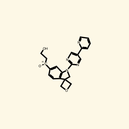 [O-][S@@+](CCO)c1ccc2c(c1)N(c1ncc(-c3ccccn3)cn1)CC21COC1